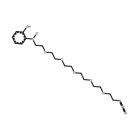 [N-]=[N+]=NCCOCCOCCOCCOCCOCC[S+]([O-])c1ccccc1O